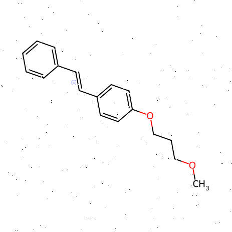 COCCCOc1ccc(/C=C/c2ccccc2)cc1